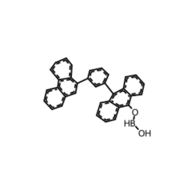 OBOc1c2ccccc2c(-c2cccc(-c3cc4ccccc4c4ccccc34)c2)c2ccccc12